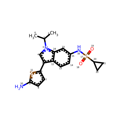 CC(C)n1cc(-c2ccc(N)s2)c2ccc(NS(=O)(=O)C3CC3)cc21